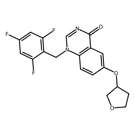 O=c1ncn(Cc2c(F)cc(F)cc2F)c2ccc(OC3CCOC3)cc12